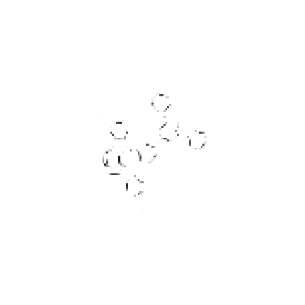 N#Cc1ccc2c(c1)c1ccccc1n2-c1ccc(-c2cc(-c3ccccc3)nc(-c3ccccc3)c2)cc1-n1c2ccccc2c2cc(C#N)ccc21